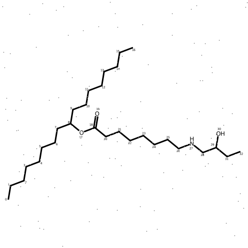 CCCCCCCCC(CCCCCCCC)OC(=O)CCCCCCCNCC(O)CC